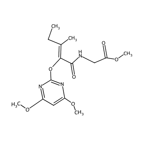 CCC(C)=C(Oc1nc(OC)cc(OC)n1)C(=O)NCC(=O)OC